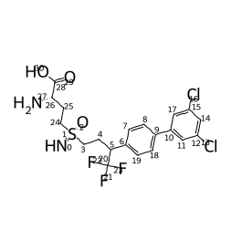 N=S(=O)(CCC(c1ccc(-c2cc(Cl)cc(Cl)c2)cc1)C(F)(F)F)CC[C@H](N)C(=O)O